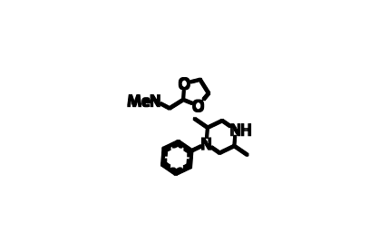 CC1CN(c2ccccc2)C(C)CN1.CNCC1OCCO1